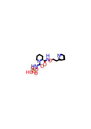 O=C(NOCCc1ccccn1)[C@@H]1CCCCN1C(=O)NOS(=O)(=O)O